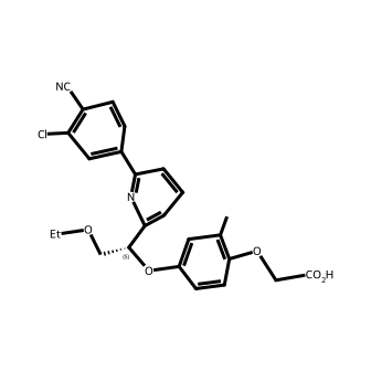 CCOC[C@@H](Oc1ccc(OCC(=O)O)c(C)c1)c1cccc(-c2ccc(C#N)c(Cl)c2)n1